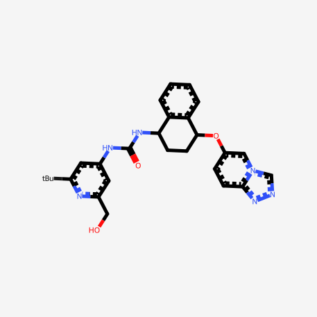 CC(C)(C)c1cc(NC(=O)NC2CCC(Oc3ccc4nncn4c3)c3ccccc32)cc(CO)n1